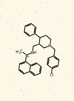 C[C@@H](NCC1CN(Cc2ccc(Cl)cc2)CCC1c1ccccc1)c1cccc2ccccc12